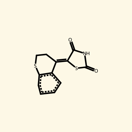 O=C1NC(=O)/C(=C2\CCSc3ccccc32)S1